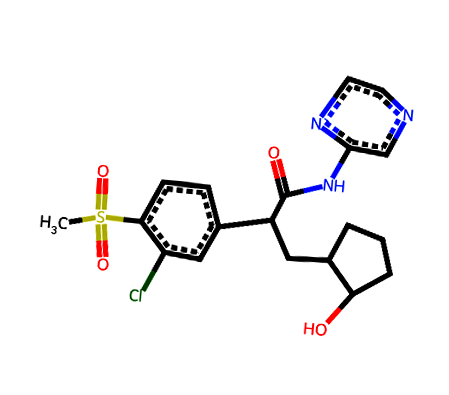 CS(=O)(=O)c1ccc(C(CC2CCCC2O)C(=O)Nc2cnccn2)cc1Cl